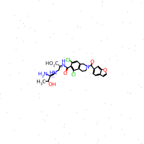 CC(O)/C(N)=C/NC[C@H](NC(=O)c1c(Cl)cc2c(c1Cl)CCN(C(=O)c1ccc3ccoc3c1)C2)C(=O)O